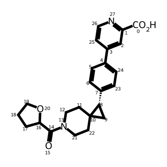 O=C(O)c1cc(-c2ccc([C@@H]3CC34CCN(C(=O)C3CCCO3)CC4)cc2)ccn1